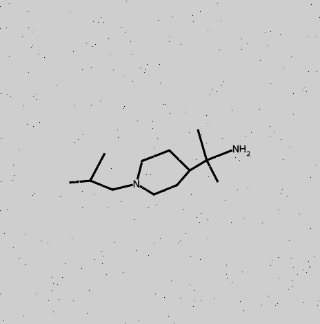 CC(C)CN1CCC(C(C)(C)N)CC1